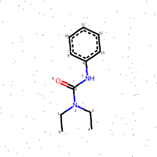 CCN(CC)C(=O)Nc1cc[c]cc1